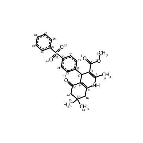 COC(=O)C1=C(C)NC2=C(C(=O)CC(C)(C)C2)C1c1ccc(S(=O)(=O)c2ccccc2)cc1